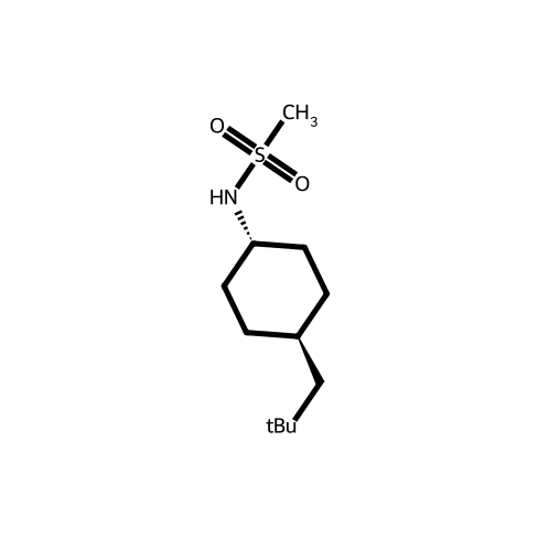 CC(C)(C)C[C@H]1CC[C@H](NS(C)(=O)=O)CC1